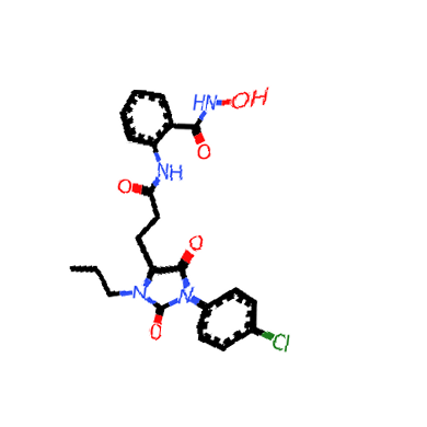 CCCN1C(=O)N(c2ccc(Cl)cc2)C(=O)C1CCC(=O)Nc1ccccc1C(=O)NO